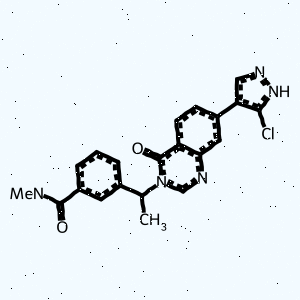 CNC(=O)c1cccc(C(C)n2cnc3cc(-c4cn[nH]c4Cl)ccc3c2=O)c1